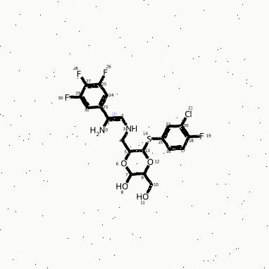 N/C(=C\NCC1OC(O)C(CO)OC1Sc1ccc(F)c(Cl)c1)c1cc(F)c(F)c(F)c1